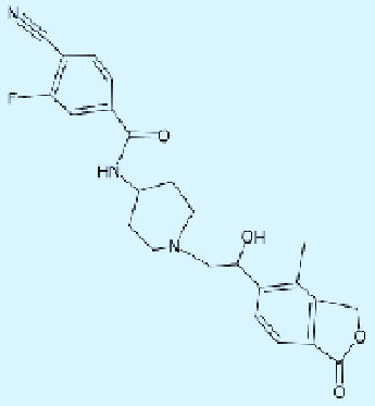 Cc1c(C(O)CN2CCC(NC(=O)c3ccc(C#N)c(F)c3)CC2)ccc2c1COC2=O